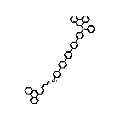 C1=Cc2cc(\C=C/C=C\C=C\Nc3ccc(-c4ccc(-c5ccc(-c6ccc(-c7ccc(N(c8ccccc8)c8cc9ccccc9c9ccccc89)cc7)cc6)cc5)cc4)cc3)c3ccccc3c2CC1